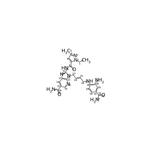 CCn1nc(C)cc1C(=O)Nc1nc2cc(C(N)=O)cnc2n1CC=CCNc1ccc(C(N)=O)cc1N